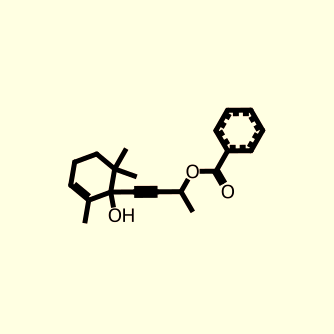 CC1=CCCC(C)(C)C1(O)C#CC(C)OC(=O)c1ccccc1